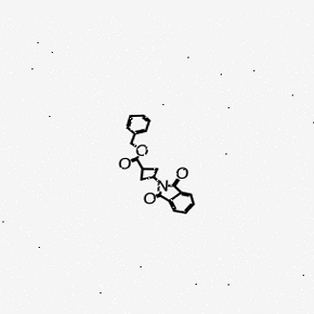 O=C(OCc1ccccc1)C1CC(N2C(=O)c3ccccc3C2=O)C1